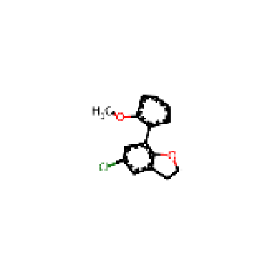 COc1ccccc1-c1cc(Cl)cc2c1O[CH]C2